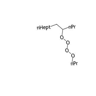 CCCCCCCCC(CCC)OOOOCCC